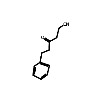 N#CCCC(=O)CCc1ccccc1